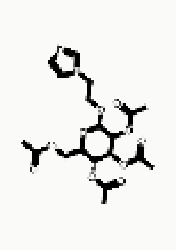 CC(=O)OCC1O[C@@H](OCCn2ccnc2)C(OC(C)=O)C(OC(C)=O)[C@@H]1OC(C)=O